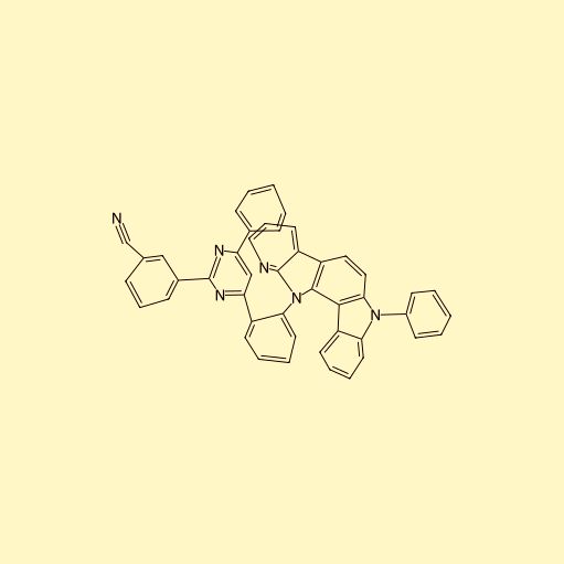 N#Cc1cccc(-c2nc(-c3ccccc3)cc(-c3ccccc3-n3c4ncccc4c4ccc5c(c6ccccc6n5-c5ccccc5)c43)n2)c1